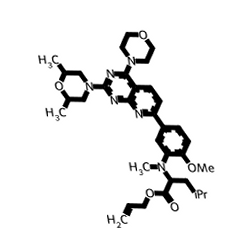 C=CCOC(=O)C(CC(C)C)N(C)c1cc(-c2ccc3c(N4CCOCC4)nc(N4CC(C)OC(C)C4)nc3n2)ccc1OC